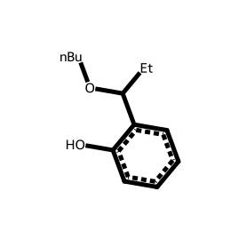 CCCCOC(CC)c1ccccc1O